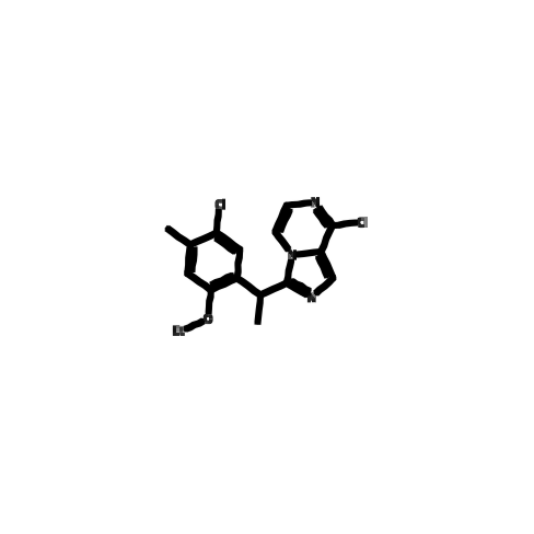 CCOc1cc(C)c(Cl)cc1C(C)c1ncc2c(Cl)nccn12